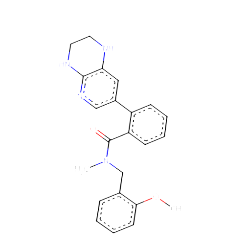 COc1ccccc1CN(C)C(=O)c1ccccc1-c1cnc2c(c1)NCCN2